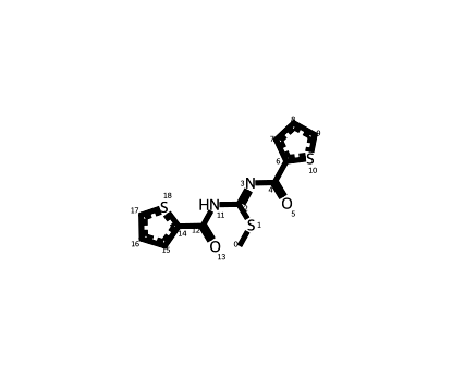 CSC(=NC(=O)c1cccs1)NC(=O)c1cccs1